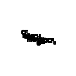 CC1=C(NC(=O)c2ccc3cc(C(F)(F)F)ccc3n2)CC1NC(=O)COC1CCN(CC(F)(F)F)C1